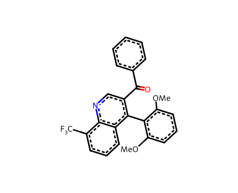 COc1cccc(OC)c1-c1c(C(=O)c2ccccc2)cnc2c(C(F)(F)F)cccc12